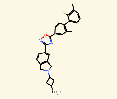 Cc1cc(-c2nc(-c3ccc4c(c3)CN(C3CC(C(=O)O)C3)C4)no2)ccc1-c1cccc(C)c1F